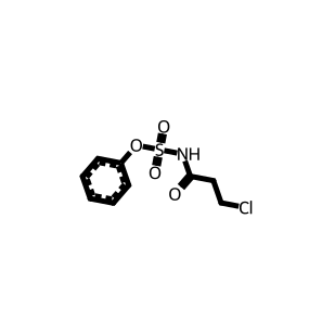 O=C(CCCl)NS(=O)(=O)Oc1ccccc1